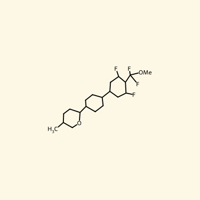 COC(F)(F)C1C(F)CC(C2CCC(C3CCC(C)CO3)CC2)CC1F